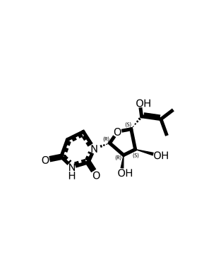 CC(C)=C(O)[C@H]1O[C@@H](n2ccc(=O)[nH]c2=O)[C@H](O)[C@@H]1O